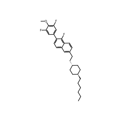 CCCCCC[C@H]1CC[C@H](CCc2ccc3c(F)c(-c4cc(F)c(OC)c(F)c4)ccc3c2)CC1